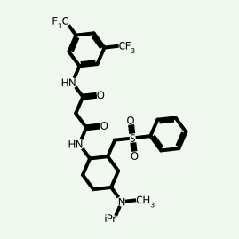 CC(C)N(C)C1CCC(NC(=O)CC(=O)Nc2cc(C(F)(F)F)cc(C(F)(F)F)c2)C(CS(=O)(=O)c2ccccc2)C1